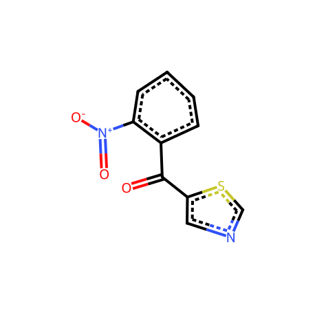 O=C(c1cncs1)c1ccccc1[N+](=O)[O-]